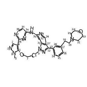 Cn1ncc2c1OCCCn1nc(-c3cccc(CCN4CCOCC4)c3)c3cnc(cc31)Nc1ccnc-2n1